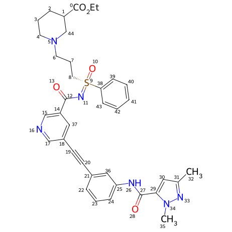 CCOC(=O)C1CCCN(CCC[S@@](=O)(=NC(=O)c2cncc(C#Cc3cccc(NC(=O)c4cc(C)nn4C)c3)c2)c2ccccc2)C1